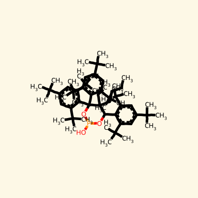 CCCCC1(CC)C(c2c(C(C)(C)C)cc(C(C)(C)C)cc2C(C)(C)C)OP(O)OC1(c1c(C(C)(C)C)cc(C(C)(C)C)cc1C(C)(C)C)c1c(C(C)(C)C)cc(C(C)(C)C)cc1C(C)(C)C